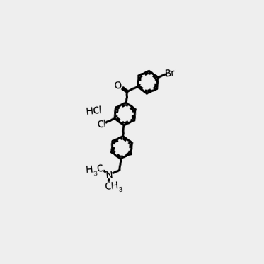 CN(C)Cc1ccc(-c2ccc(C(=O)c3ccc(Br)cc3)cc2Cl)cc1.Cl